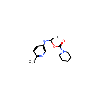 CC(Nc1ccc([N+](=O)[O-])nc1)OC(=O)N1CCCCC1